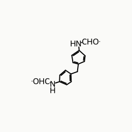 O=[C]Nc1ccc(Cc2ccc(N[C]=O)cc2)cc1